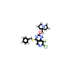 Fc1c(Cl)ncc2c(SCc3ccccc3)nc(OCC34CCCN3CCC4)nc12